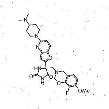 COc1ccc2c(c1F)OCN(C[C@@]1(c3cc4nc(N5CCC(N(C)C)CC5)ccc4o3)NC(=O)NC1=O)C2